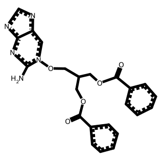 Nc1nc2ncnc-2cn1OCC(COC(=O)c1ccccc1)COC(=O)c1ccccc1